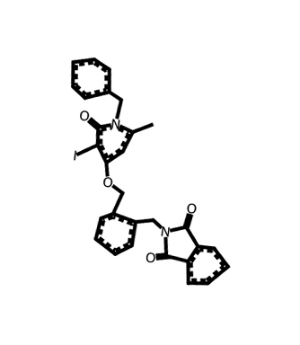 Cc1cc(OCc2ccccc2CN2C(=O)c3ccccc3C2=O)c(I)c(=O)n1Cc1ccccc1